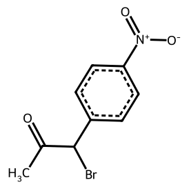 CC(=O)C(Br)c1ccc([N+](=O)[O-])cc1